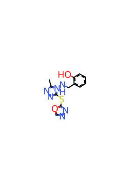 Cc1nnc(Sc2nnco2)n1NCc1ccccc1O